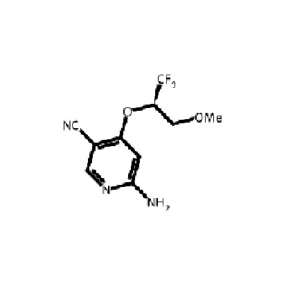 COC[C@@H](Oc1cc(N)ncc1C#N)C(F)(F)F